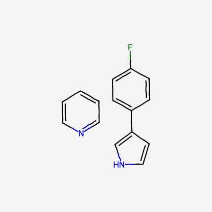 Fc1ccc(-c2cc[nH]c2)cc1.c1ccncc1